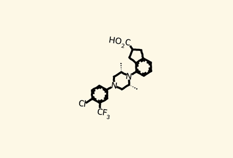 C[C@@H]1CN(c2ccc(Cl)c(C(F)(F)F)c2)C[C@H](C)N1c1cccc2c1CC(C(=O)O)C2